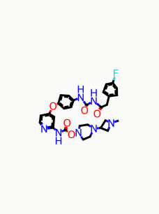 CN1CC(N2CCN(OC(=O)Nc3cc(Oc4ccc(NC(=O)NC(=O)Cc5ccc(F)cc5)cc4)ccn3)CC2)C1